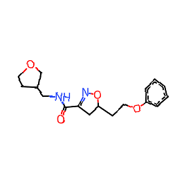 O=C(NCC1CCOC1)C1=NOC(CCOc2ccccc2)C1